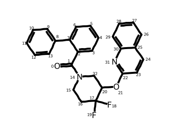 O=C(c1ccccc1-c1ccccc1)N1CCC(F)(F)C(Oc2ccc3ccccc3n2)C1